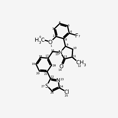 COc1cccc(F)c1C1CC(C)C(=O)N1Cc1cccc(-c2nc(Cl)cs2)c1